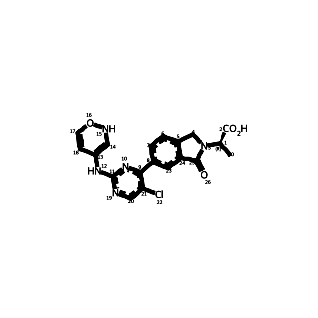 C[C@H](C(=O)O)N1Cc2ccc(-c3nc(NC4=CNOC=C4)ncc3Cl)cc2C1=O